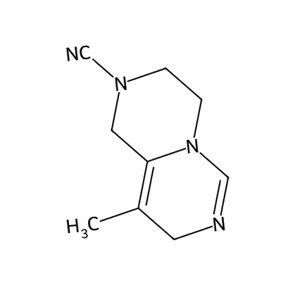 CC1=C2CN(C#N)CCN2C=NC1